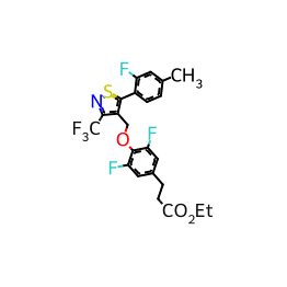 CCOC(=O)CCc1cc(F)c(OCc2c(C(F)(F)F)nsc2-c2ccc(C)cc2F)c(F)c1